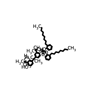 CCCCCCCCCc1ccccc1OP(=O)(Oc1ccccc1CCCCCCCCC)Oc1ccc(C(C)(C)c2ccc(O)c(C(C)(C)C)c2)cc1C(C)(C)C